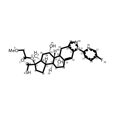 COCC(=O)O[C@]1(C(=O)S)CC[C@H]2[C@@H]3CCC4=Cc5c(cnn5-c5ccc(F)cn5)C[C@]4(C)[C@H]3[C@@H](O)C[C@@]21C